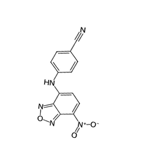 N#Cc1ccc(Nc2ccc([N+](=O)[O-])c3nonc23)cc1